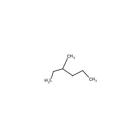 [CH2]CC(C)[CH]CC